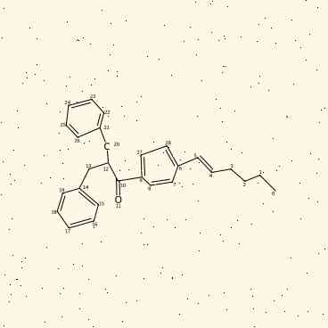 CCCC[C]=Cc1ccc(C(=O)C(Cc2ccccc2)Cc2ccccc2)cc1